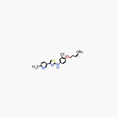 CCCC/C=C\CCOc1ccc(Nc2nc(-c3ccc(C)nc3)cs2)cc1C(F)(F)F